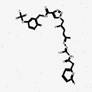 C/C(CCC(F)Cn1cc(C(=O)NCc2cc(OC(F)(F)F)ccc2F)nn1)=N\N=C(/S)NC(=O)Cc1cccc(F)n1